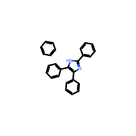 c1ccc(-c2nc(-c3ccccc3)c(-c3ccccc3)[nH]2)cc1.c1ccccc1